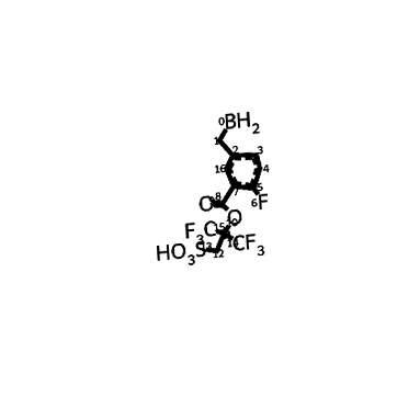 BCc1ccc(F)c(C(=O)OC(CS(=O)(=O)O)(C(F)(F)F)C(F)(F)F)c1